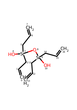 C=CC[Si](O)(CC=C)O[Si](O)(CC=C)CC=C